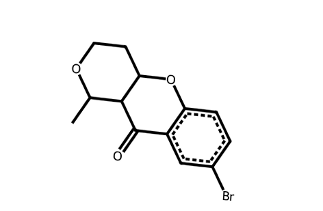 CC1OCCC2Oc3ccc(Br)cc3C(=O)C12